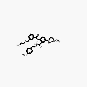 COc1ccc(C=NNC(=O)c2cc(N3CCN(C)CC3)ccc2NC(=O)c2cccc(CSCCO)c2)cc1